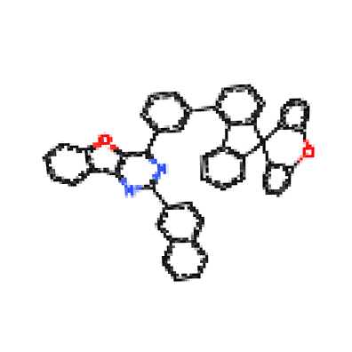 c1cc(-c2cccc3c2-c2ccccc2C32c3ccccc3Oc3ccccc32)cc(-c2nc(-c3ccc4ccccc4c3)nc3c2oc2ccccc23)c1